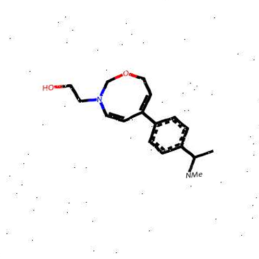 CNC(C)c1ccc(C2=C/COCN(CCO)/C=C\2)cc1